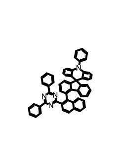 c1ccc(-c2nc(-c3ccccc3)nc(-c3ccc4ccccc4c3-c3cccc4c3-c3ccccc3C43c4ccccc4N(c4ccccc4)c4ccccc43)n2)cc1